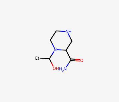 CCC(O)N1CCNCC1C(N)=O